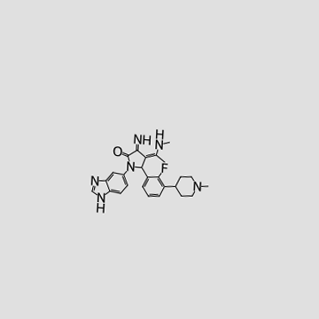 CN/C(C)=C1\C(=N)C(=O)N(c2ccc3[nH]cnc3c2)C1c1cccc(C2CCN(C)CC2)c1F